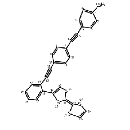 Sc1ccc(C#Cc2ccc(C#Cc3ccccc3C3=CSC(=C4SC=CS4)S3)cc2)cc1